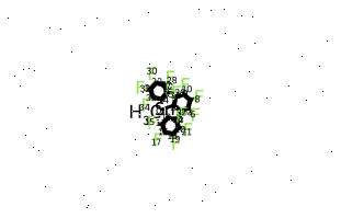 [CH3][Sn]([c]1c(F)c(F)c(F)c(F)c1F)([c]1c(F)c(F)c(F)c(F)c1F)[c]1c(F)c(F)c(F)c(F)c1F